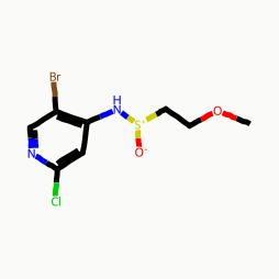 COCC[S+]([O-])Nc1cc(Cl)ncc1Br